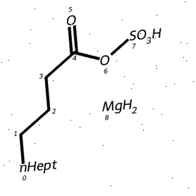 CCCCCCCCCCC(=O)OS(=O)(=O)O.[MgH2]